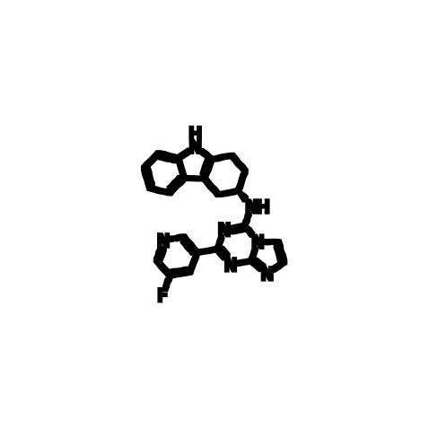 Fc1cncc(-c2nc(N[C@@H]3CCc4[nH]c5ccccc5c4C3)n3ccnc3n2)c1